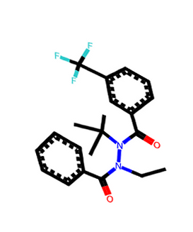 CCN(C(=O)c1ccccc1)N(C(=O)c1cccc(C(F)(F)F)c1)C(C)(C)C